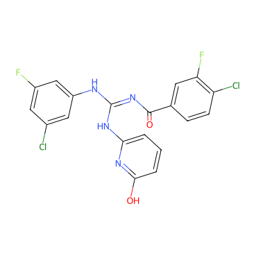 O=C(/N=C(/Nc1cc(F)cc(Cl)c1)Nc1cccc(O)n1)c1ccc(Cl)c(F)c1